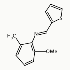 COc1cccc(C)c1N=Cc1cccs1